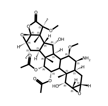 CO[C@@H]1C2C([C@H](OC(C)=O)[C@H](OC(C)=O)[C@]3(C)[C@H]4[C@H](C)[C@H]5O[C@]56OC(=O)[C@@](C)(OC)[C@]6(C)[C@@H]4[C@H](O)[C@@H]23)[C@]2(C)[C@H](C[C@@H]3O[C@@H]3[C@@H]2O)[C@@H]1N